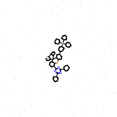 c1ccc(-c2nc(-c3ccccc3)nc(-c3cccc4c3Sc3ccc(-c5ccc([Si](c6ccccc6)(c6ccccc6)c6ccccc6)cc5)cc3C43c4ccccc4-c4ccccc43)n2)cc1